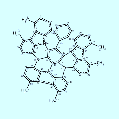 Cc1cccc2c1c1c(C)ccc3c1n2-c1c2c4c5c(c1-c1ccccn1)-n1c6cccc(C)c6c6c(C)ccc(c61)B5c1ccc(C)c5c6c(C)ccc(c6n-4c15)B23